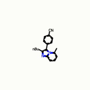 CCCCc1nc2cccc(C)n2c1-c1ccc(C#N)cc1